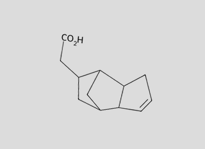 O=C(O)CC1CC2CC1C1CC=CC21